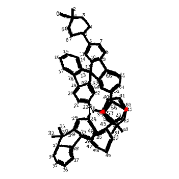 CC1(C)CCC(c2ccc3c(c2)C2(c4ccccc4-c4ccc(N(c5ccc6c(c5)C(C)(C)c5ccccc5-6)c5ccccc5-c5ccccc5)cc42)c2cc(C4CCC(C)(C)CC4)ccc2-3)CC1